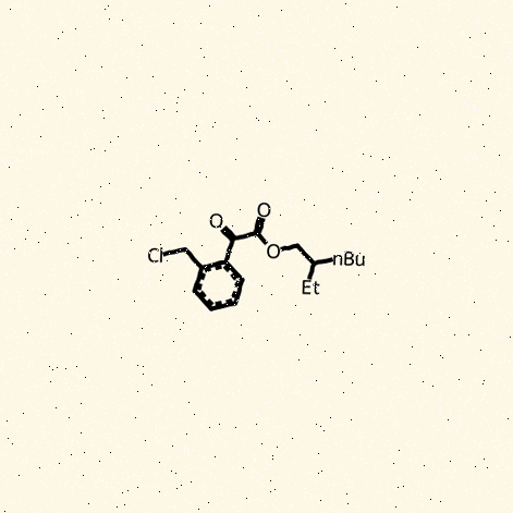 CCCCC(CC)COC(=O)C(=O)c1ccccc1CCl